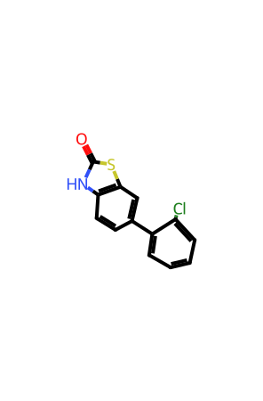 O=c1[nH]c2ccc(-c3ccccc3Cl)cc2s1